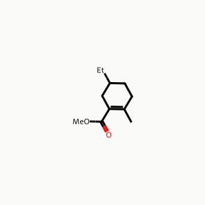 CCC1CCC(C)=C(C(=O)OC)C1